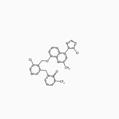 Cc1cc(-c2ncsc2Cl)c2cccc(OCc3c(Cl)cncc3Cn3cccc(C(F)(F)F)c3=O)c2n1